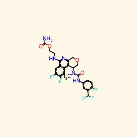 CN(C(=O)Nc1ccc(F)c(C(F)F)c1)C1COCc2nc(NCCOC(N)=O)c3cc(F)c(F)cc3c21